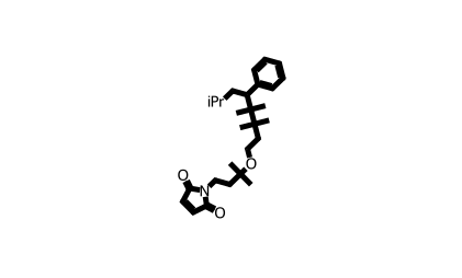 CC(C)CC(c1ccccc1)C(C)(C)C(C)(C)CCOC(C)(C)CCN1C(=O)C=CC1=O